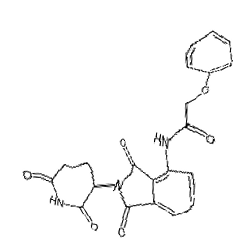 O=C1CCC(N2C(=O)c3cccc(NC(=O)COc4ccccc4)c3C2=O)C(=O)N1